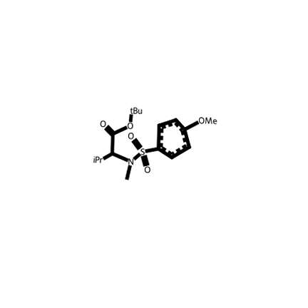 COc1ccc(S(=O)(=O)N(C)C(C(=O)OC(C)(C)C)C(C)C)cc1